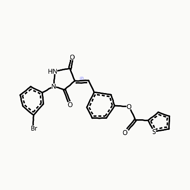 O=C1NN(c2cccc(Br)c2)C(=O)/C1=C\c1cccc(OC(=O)c2cccs2)c1